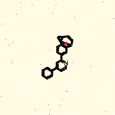 C1=CC2C3C=CC1c1cc(-c4cc(-c5ccccc5)ccn4)ccc1C23